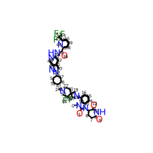 Cn1c(=O)n(C2CCC(=O)NC2=O)c2cccc(N3CC4(CCN(C[C@H]5CC[C@H](n6cc7cc(NC(=O)c8cccc(C(F)(F)F)n8)ncc7n6)CC5)CC4(F)F)C3)c21